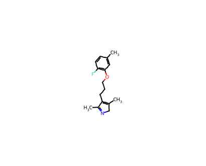 CC1=NCC(C)=C1CCCOc1cc(C)ccc1F